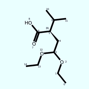 CCOC(C[C@@H](C(=O)O)C(C)C)OCC